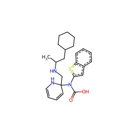 CC(CC1CCCCC1)NCC1(N(C(=O)O)c2cc3ccccc3s2)C=CC=CN1